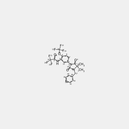 CC1(C)C(=O)N(c2ccc(OC(F)(F)F)c(NC(=O)C(F)(F)F)c2)C(=O)N1Cc1ccncc1